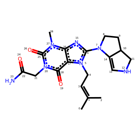 CC(C)=CCn1c(N2CCC3CNC=C32)nc2c1c(=O)n(CC(N)=O)c(=O)n2C